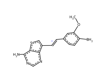 Bc1ccc(/C=C/c2csc3c(N)ncnc23)cc1OC